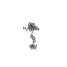 N=C(N)N(CCCCc1ccc2cc(OCCCNC(=O)O)ccc2c1)C(=O)c1nc(Cl)c(N)nc1N